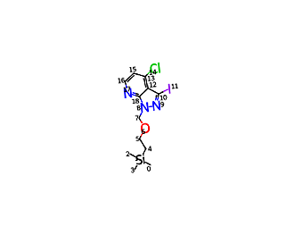 C[Si](C)(C)CCOCn1nc(I)c2c(Cl)ccnc21